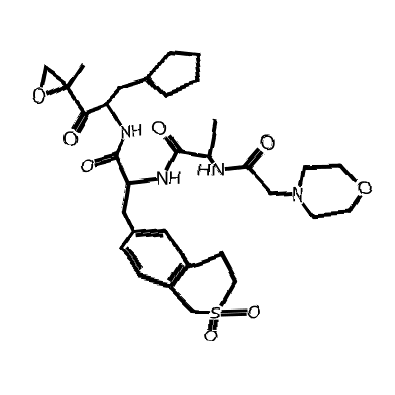 CC(NC(=O)CN1CCOCC1)C(=O)NC(Cc1ccc2c(c1)CCS(=O)(=O)C2)C(=O)NC(CC1CCCC1)C(=O)C1(C)CO1